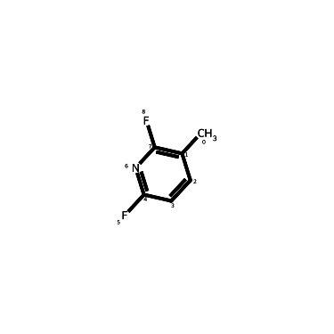 Cc1ccc(F)nc1F